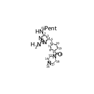 CCCC(C)Nc1cc(Cc2ccc(C(=O)N3CCN(C)CC3)cc2)nc(N)n1